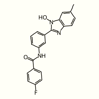 Cc1ccc2nc(-c3cccc(NC(=O)c4ccc(F)cc4)c3)n(O)c2c1